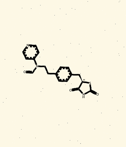 O=CN(CCc1ccc(C[C@H]2SC(=O)NC2=O)cc1)c1ccncc1